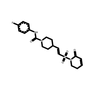 O=C(Nc1ccc(F)cc1)N1CCC(C=CS(=O)(=O)N2CCC=CC2=O)CC1